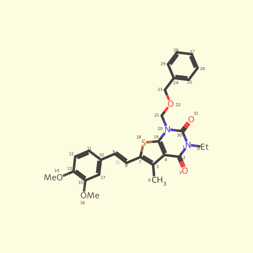 CCn1c(=O)c2c(C)c(/C=C/c3ccc(OC)c(OC)c3)sc2n(COCc2ccccc2)c1=O